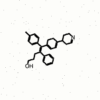 Cc1ccc(/C(C2=CC=C(C3CC=NCC3)CC2)=C(\CCCO)c2ccccc2)cc1